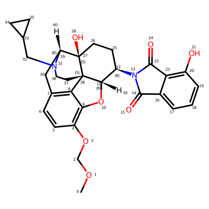 COCOc1ccc2c3c1O[C@H]1[C@H](N4C(=O)c5cccc(O)c5C4=O)CC[C@@]4(O)[C@@H](C2)N(CC2CC2)CC[C@]314